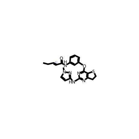 CC/C=C/C(=O)Nc1cccc(Oc2nc(Nc3ccn(C)n3)nc3c2SCC3)c1